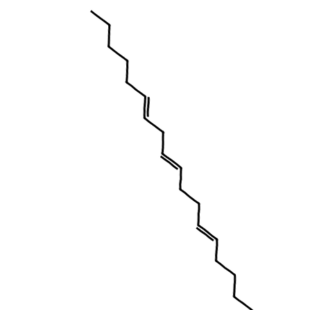 CCCCC=CCCC=CCC=CCCCCC